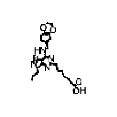 CCCc1nn(C)c2c(NCc3ccc4c(c3)OCCO4)nc(CCCCCCC(=O)O)nc12